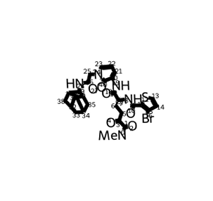 CNC(=O)C(=O)CC[C@H](NC(=O)c1sccc1Br)C(=O)Nc1cccn(CC(=O)NC2C3CC4CC(C3)CC2C4)c1=O